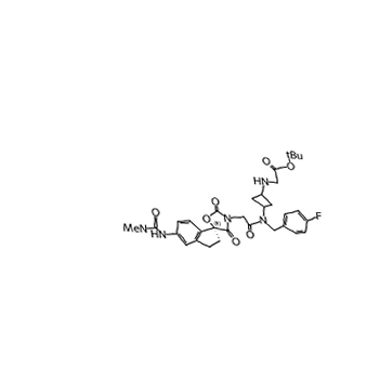 CNC(=O)Nc1ccc2c(c1)CC[C@@]21OC(=O)N(CC(=O)N(Cc2ccc(F)cc2)C2CC(NCC(=O)OC(C)(C)C)C2)C1=O